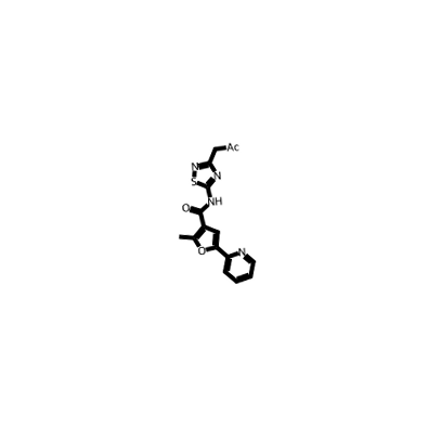 CC(=O)Cc1nsc(NC(=O)c2cc(-c3ccccn3)oc2C)n1